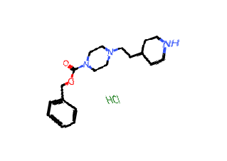 Cl.O=C(OCc1ccccc1)N1CCN(CCC2CCNCC2)CC1